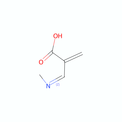 C=C(/C=N\C)C(=O)O